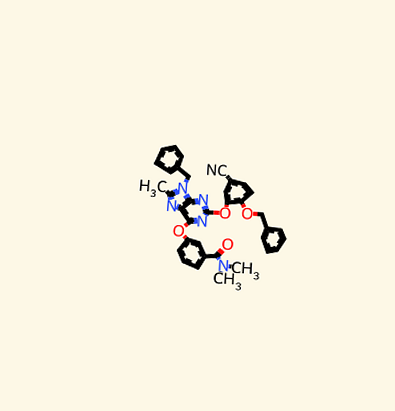 Cc1nc2c(Oc3cccc(C(=O)N(C)C)c3)nc(Oc3cc(C#N)ccc3OCc3ccccc3)nc2n1Cc1ccccc1